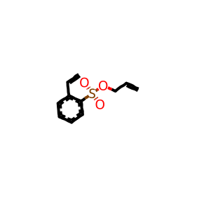 C=CCOS(=O)(=O)c1ccccc1C=C